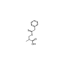 CC(CSC(=S)Cc1ccccc1)C(=O)O